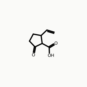 C=CC1CCC(=O)C1C(=O)O